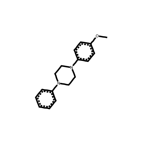 COc1ccc(N2CCN(c3[c]cccc3)CC2)cc1